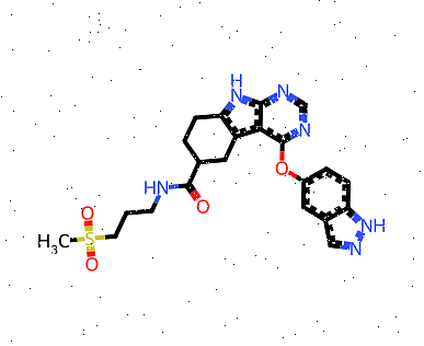 CS(=O)(=O)CCCNC(=O)C1CCc2[nH]c3ncnc(Oc4ccc5[nH]ncc5c4)c3c2C1